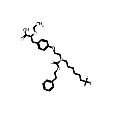 CCOC(Cc1ccc(OCCN(CCCCCCC(F)(F)F)C(=O)OCCc2ccccc2)cc1)C(=O)O